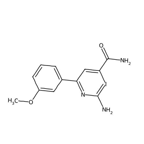 COc1cccc(C2=NC(N)=IC(C(N)=O)=C2)c1